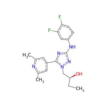 CC[C@H](O)Cn1nc(Nc2ccc(F)c(F)c2)nc1-c1cc(C)nc(C)c1